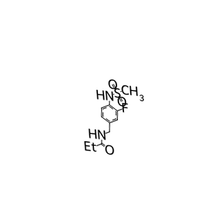 CCC(=O)NCc1ccc(NS(C)(=O)=O)c(F)c1